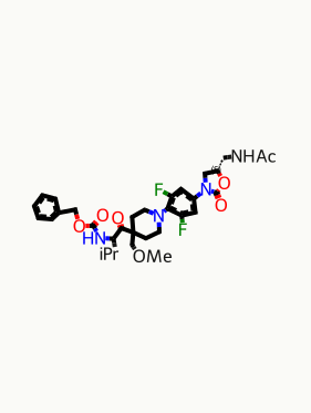 COCC1(C(=O)C(NC(=O)OCc2ccccc2)C(C)C)CCN(c2c(F)cc(N3C[C@H](CNC(C)=O)OC3=O)cc2F)CC1